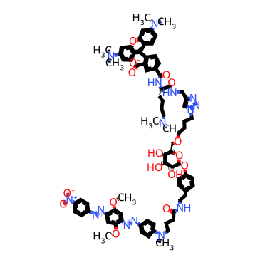 COc1cc(/N=N/c2ccc([N+](=O)[O-])cc2)c(OC)cc1/N=N/c1ccc(N(C)CCCC(=O)NCCc2ccc(O[C@@H]3O[C@H](COCCCCn4cc(CNC(=O)[C@H](CCCCN(C)C)NC(=O)c5ccc(-c6c7ccc(=[N+](C)C)cc-7oc7cc(N(C)C)ccc67)c(C(=O)[O-])c5)nn4)[C@@H](O)[C@H](O)[C@H]3O)cc2)cc1